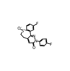 O=c1cc2c(nn1-c1ccc(F)cc1)-c1cc(F)ccc1[S+]([O-])CC2